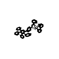 c1ccc(-c2cc(-c3ccc(-c4cc(-c5ccccc5)c(-c5ccccc5)c(-c5ccccc5)c4-c4ccccc4)cc3)nc(-c3ccccc3-c3ccccc3)n2)cc1